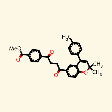 COC(=O)c1ccc(C(=O)CCC(=O)c2ccc3c(c2)C(c2ccc(C)cc2)=CC(C)(C)O3)cc1